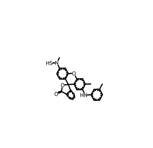 Cc1cccc(Nc2cc3c(cc2C)Oc2cc(N(C)S)ccc2C32OC(=O)c3ccccc32)c1